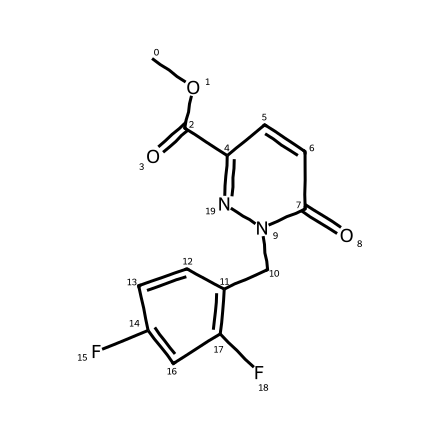 COC(=O)c1ccc(=O)n(Cc2ccc(F)cc2F)n1